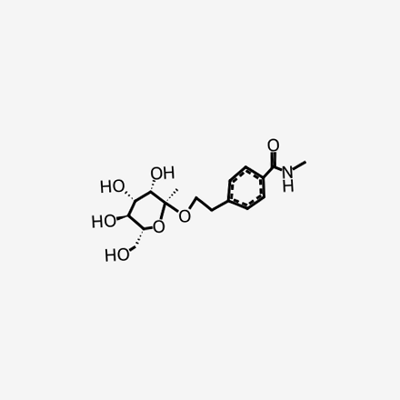 CNC(=O)c1ccc(CCO[C@@]2(C)O[C@H](CO)[C@@H](O)[C@H](O)[C@@H]2O)cc1